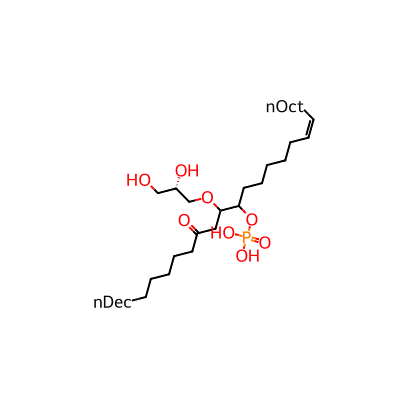 CCCCCCCC/C=C\CCCCCC(OP(=O)(O)O)C(CC(=O)CCCCCCCCCCCCCCC)OC[C@@H](O)CO